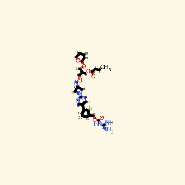 CCCC(=O)OCC(CON=C1CN(c2ncc(-c3cccc(COC(=O)NC(=N)N)c3F)cn2)C1)COC1CCCCO1